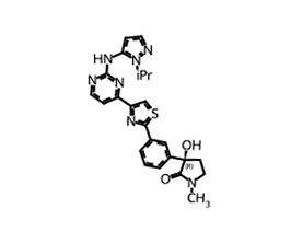 CC(C)n1nccc1Nc1nccc(-c2csc(-c3cccc([C@]4(O)CCN(C)C4=O)c3)n2)n1